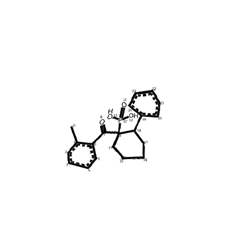 Cc1ccccc1C(=O)C1(P(=O)(O)O)CCCCC1c1ccccc1